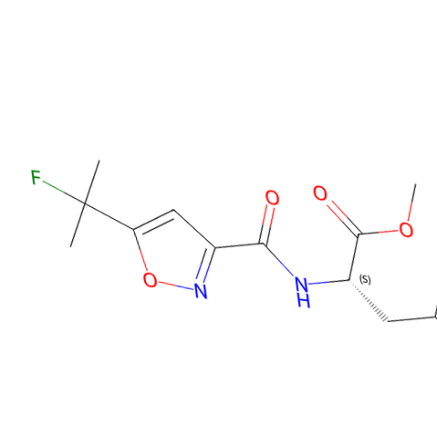 COC(=O)[C@H](CC(C)C)NC(=O)c1cc(C(C)(C)F)on1